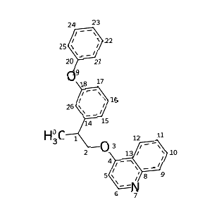 CC(COc1ccnc2ccccc12)c1cccc(Oc2ccccc2)c1